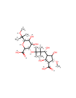 CO[C@H]1C(O)C([C@@H](O)C(C)(C)C(C)(C)O[C@@H]2C(C(=O)O)O[C@@H](C(C)(C)OC)C(O)C2O)[C@H](O)C1C(=O)O